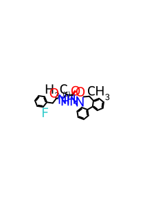 CC1C(=O)N(NC(=O)[C@H](C)NC(=O)Cc2ccccc2F)c2ccccc2-c2ccccc21